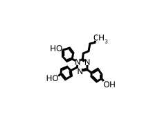 CCCCCC1=NC(c2ccc(O)cc2)=NC(c2ccc(O)cc2)N1c1ccc(O)cc1